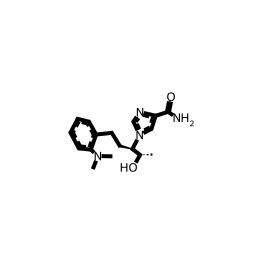 C[C@H](O)[C@@H](CCc1ccccc1N(C)C)n1cnc(C(N)=O)c1